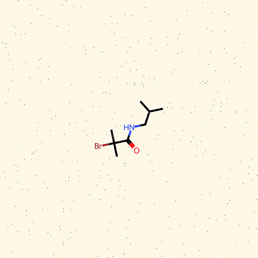 CC(C)CNC(=O)C(C)(C)Br